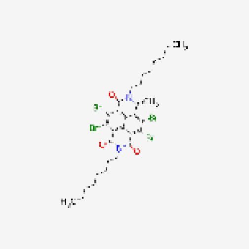 C=c1c2c(Br)c(Br)c3c4c(c(Br)c(Br)c(c(=O)n1CCCCCCCC)c42)C(=O)N(CCCCCCCC)C3=O